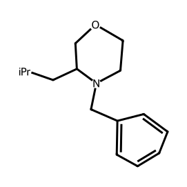 CC(C)CC1COCCN1Cc1ccccc1